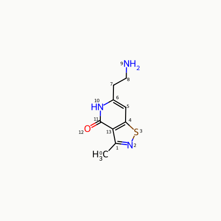 Cc1nsc2cc(CCN)[nH]c(=O)c12